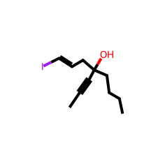 CC#CC(O)(C/C=C/I)CCCC